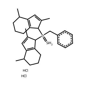 CC1=CC2=C(CCCC2C)[CH]1[Zr](=[SiH2])([CH2]c1ccccc1)[CH]1C(C)=CC2=C1CCCC2C.Cl.Cl